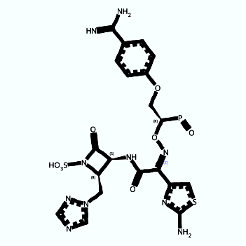 N=C(N)c1ccc(OC[C@H](O/N=C(\C(=O)N[C@@H]2C(=O)N(S(=O)(=O)O)[C@@H]2Cn2cncn2)c2csc(N)n2)P=O)cc1